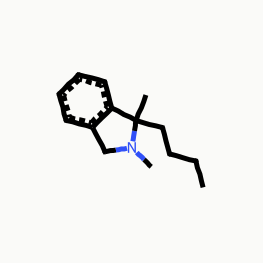 CCCCC1(C)c2ccccc2CN1C